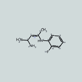 C/C(=C/C(N)N)Nc1ccccc1F